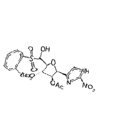 CC(=O)O[C@H]1[C@H](OC(C)=O)[C@H](c2c[nH]c([N+](=O)[O-])n2)O[C@@H]1C(O)S(=O)(=O)c1ccccc1C